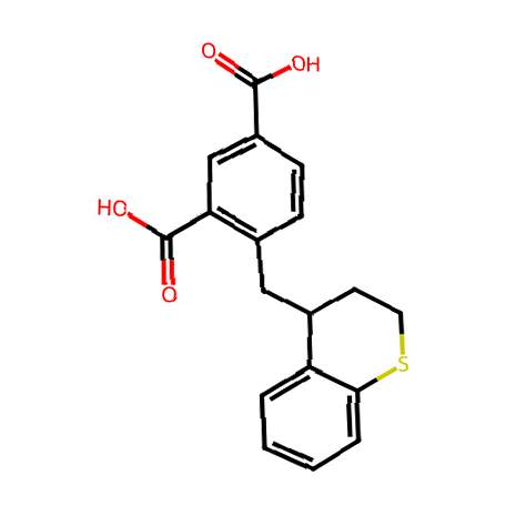 O=C(O)c1ccc(CC2CCSc3ccccc32)c(C(=O)O)c1